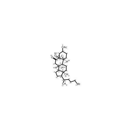 CC(=O)OC1CC[C@]2(C)[C@H]3CC[C@]4(C)[C@@H]([C@H](C)CCCC(C)C)CC[C@H]4[C@@H]3CC(=O)C2(O)C1